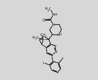 CNC(=O)N1CCNC(C23CCC(c4cc(-c5c(F)cccc5F)nnc42)C3(C)C)C1